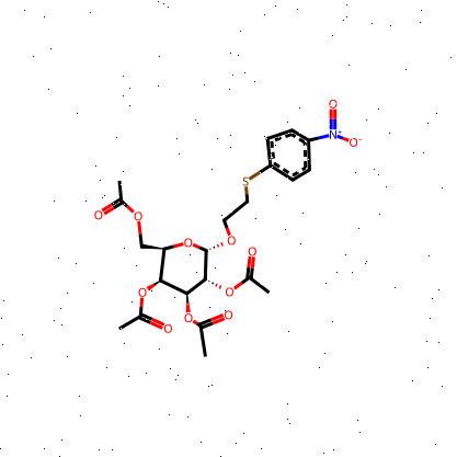 CC(=O)OC[C@H]1O[C@H](OCCSc2ccc([N+](=O)[O-])cc2)[C@H](OC(C)=O)[C@@H](OC(C)=O)[C@H]1OC(C)=O